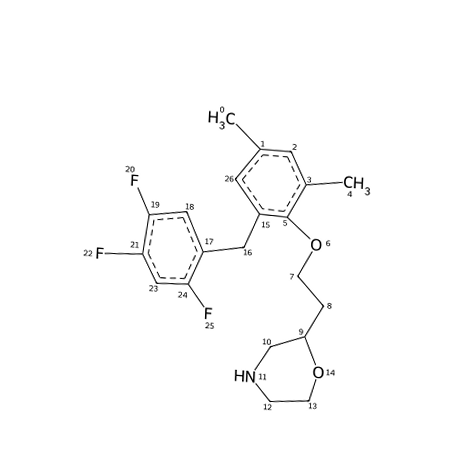 Cc1cc(C)c(OCCC2CNCCO2)c(Cc2cc(F)c(F)cc2F)c1